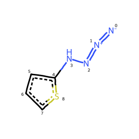 [N-]=[N+]=NNc1cccs1